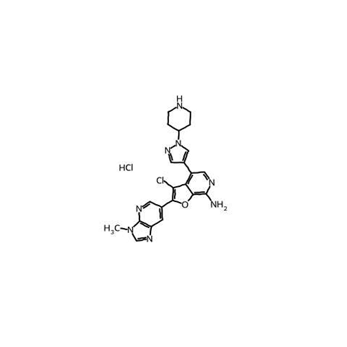 Cl.Cn1cnc2cc(-c3oc4c(N)ncc(-c5cnn(C6CCNCC6)c5)c4c3Cl)cnc21